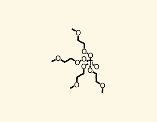 COCCO[O][Ti](=[O])([O]CCOC)([O]CCOC)[O]OCCOC